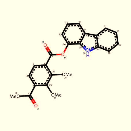 COC(=O)c1ccc(C(=O)Oc2cccc3c2[nH]c2ccccc23)c(OC)c1OC